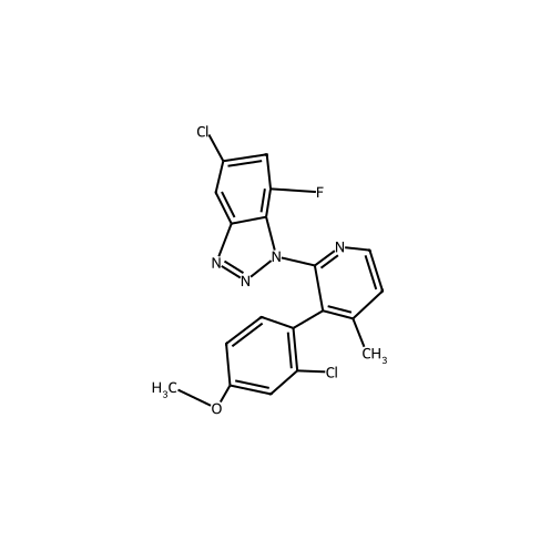 COc1ccc(-c2c(C)ccnc2-n2nnc3cc(Cl)cc(F)c32)c(Cl)c1